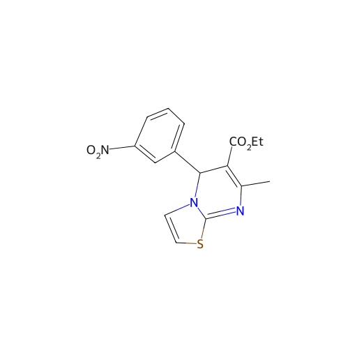 CCOC(=O)C1=C(C)N=C2SC=CN2C1c1cccc([N+](=O)[O-])c1